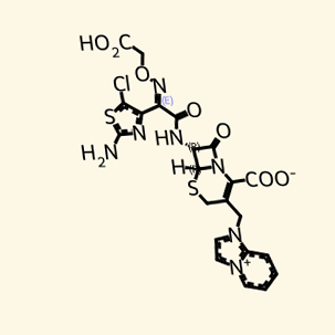 Nc1nc(/C(=N\OCC(=O)O)C(=O)N[C@@H]2C(=O)N3C(C(=O)[O-])=C(Cn4cc[n+]5ccccc45)CS[C@H]23)c(Cl)s1